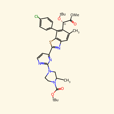 COC(=O)[C@@H](OC(C)(C)C)c1c(C)cc2nc(-c3ccnc(N4CCN(C(=O)OC(C)(C)C)C(C)C4)n3)sc2c1-c1ccc(Cl)cc1